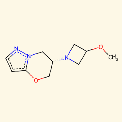 COC1CN([C@@H]2COc3ccnn3C2)C1